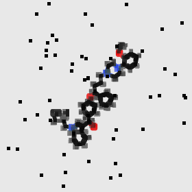 CC(C)Oc1ccccc1N1CCN(CCCC(Oc2ccc(C(=O)c3cn(CCCC(=O)O)c4ccccc34)cc2)c2ccccc2)CC1